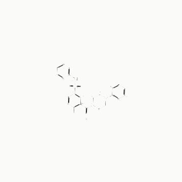 Cc1ccc(S(=O)(=O)Nc2ccccc2)cc1C(=O)N1CCN(c2ccccc2)CC1